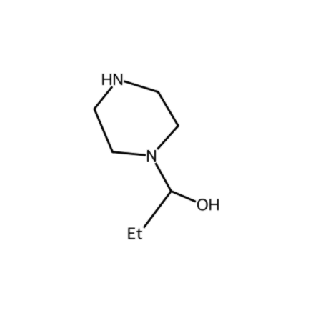 [CH2]CC(O)N1CCNCC1